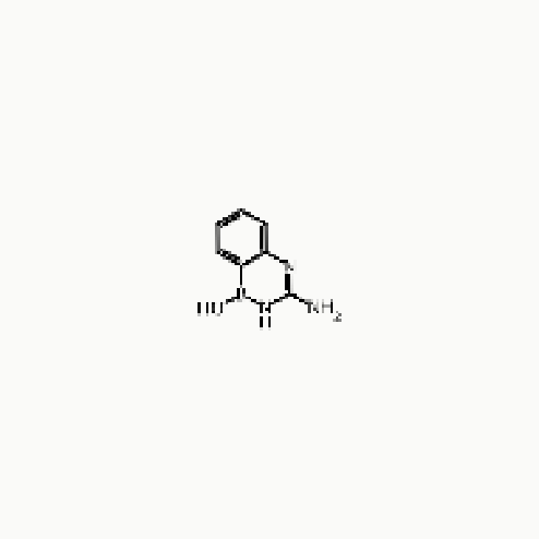 NC1=Nc2ccccc2B(O)N1